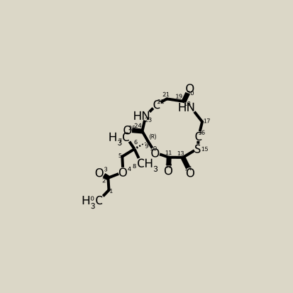 CCC(=O)OCC(C)(C)[C@H]1OC(=O)C(=O)SCCNC(=O)CCNC1=O